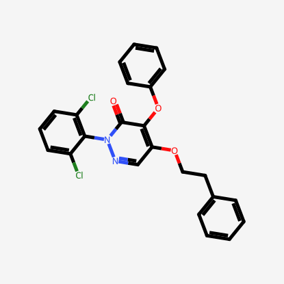 O=c1c(Oc2ccccc2)c(OCCc2ccccc2)cnn1-c1c(Cl)cccc1Cl